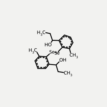 CCC(O)c1cccc(C)c1[Se][Se]c1c(C)cccc1C(O)CC